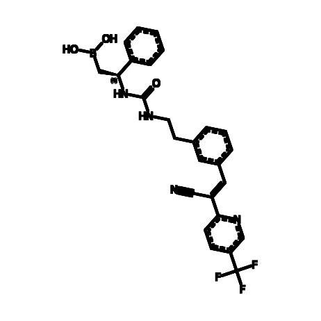 N#CC(=Cc1cccc(CCNC(=O)N[C@@H](CB(O)O)c2ccccc2)c1)c1ccc(C(F)(F)F)cn1